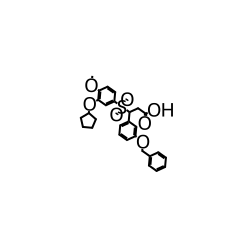 COc1ccc(S(=O)(=O)C(CC(=O)O)c2cccc(OCc3ccccc3)c2)cc1OC1CCCC1